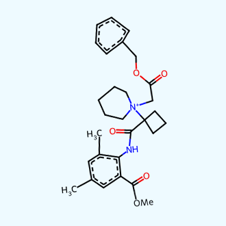 COC(=O)c1cc(C)cc(C)c1NC(=O)C1([N+]2(CC(=O)OCc3ccccc3)CCCCC2)CCC1